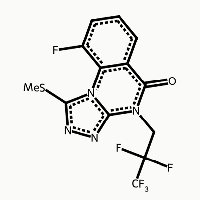 CSc1nnc2n(CC(F)(F)C(F)(F)F)c(=O)c3cccc(F)c3n12